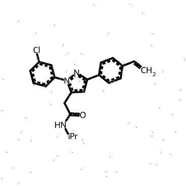 C=Cc1ccc(-c2cc(CC(=O)NC(C)C)n(-c3cccc(Cl)c3)n2)cc1